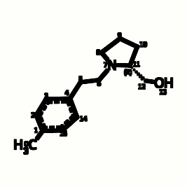 Cc1ccc(CCN2CCC[C@@H]2CO)cc1